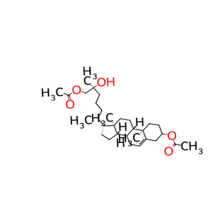 CC(=O)OC[C@@](C)(O)CCC[C@@H](C)[C@H]1CC[C@H]2[C@@H]3CC=C4CC(OC(C)=O)CC[C@]4(C)[C@H]3CC[C@]12C